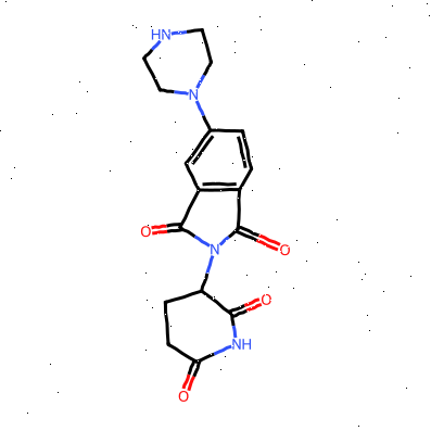 O=C1CCC(N2C(=O)c3ccc(N4CCNCC4)cc3C2=O)C(=O)N1